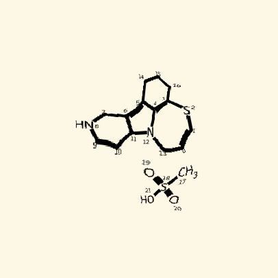 C1=CSC2=C3C(=C4CNCCC4N3C1)CCC2.CS(=O)(=O)O